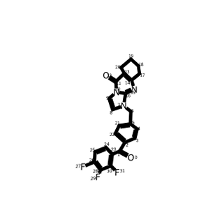 O=C(c1ccc(Cn2ccn3c(=O)c4c(nc23)CCCC4)cc1)c1ccc(F)c(F)c1F